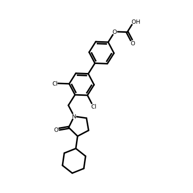 O=C(O)Oc1ccc(-c2cc(Cl)c(CN3CCC(C4CCCCC4)C3=O)c(Cl)c2)cc1